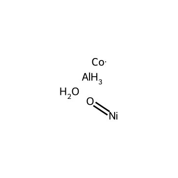 O.[AlH3].[Co].[O]=[Ni]